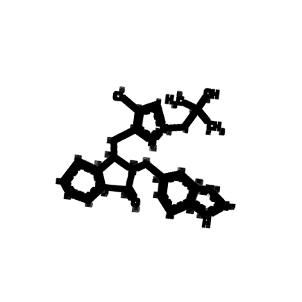 CC(C)(O)Cn1cc(Cl)c(CC2c3ccccc3C(=O)N2Cc2ccc3[nH]nnc3c2)n1